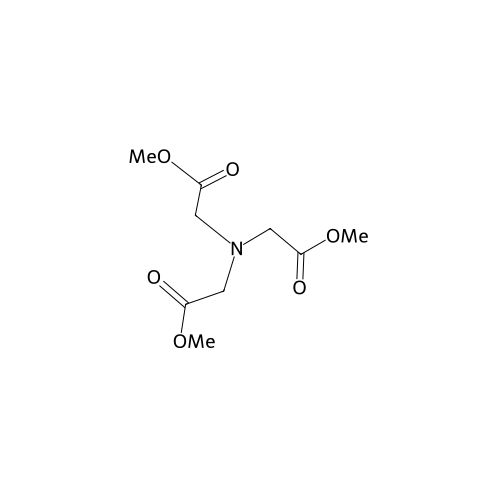 COC(=O)CN(CC(=O)OC)CC(=O)OC